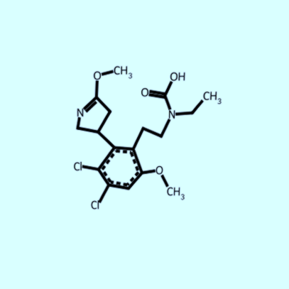 CCN(CCc1c(OC)cc(Cl)c(Cl)c1C1CN=C(OC)C1)C(=O)O